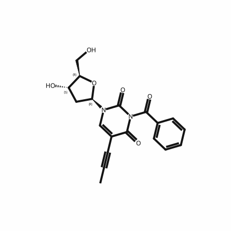 CC#Cc1cn([C@H]2C[C@H](O)[C@@H](CO)O2)c(=O)n(C(=O)c2ccccc2)c1=O